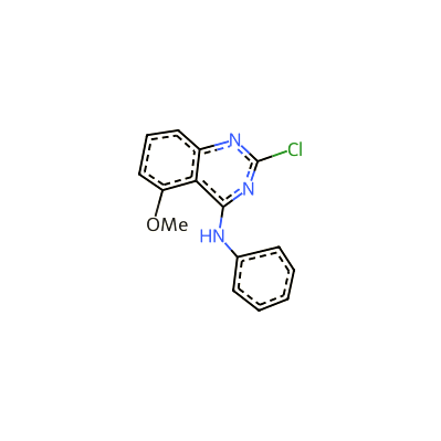 COc1cccc2nc(Cl)nc(Nc3ccccc3)c12